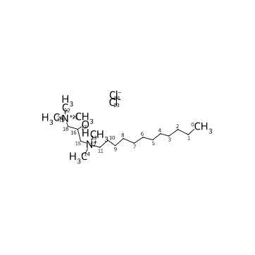 CCCCCCCCCCCC[N+](C)(C)CC(O)C[N+](C)(C)C.[Cl-].[Cl-]